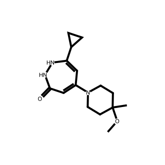 COC1(C)CCN(C2=CC(=O)NNC(C3CC3)=C2)CC1